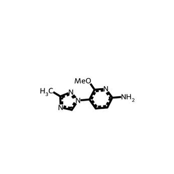 COc1nc(N)ccc1-n1cnc(C)n1